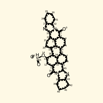 O=c1c2ccc3c4ccc5c6c(cc(O[SH](=O)=O)c(c7ccc(c2c37)c2nc3ccccc3n12)c46)c(=O)n1c2ccccc2nc51